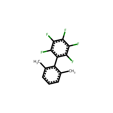 Cc1cccc(C)c1-c1c(F)c(F)c(F)c(F)c1F